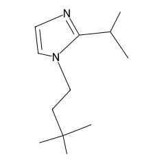 CC(C)c1nccn1CCC(C)(C)C